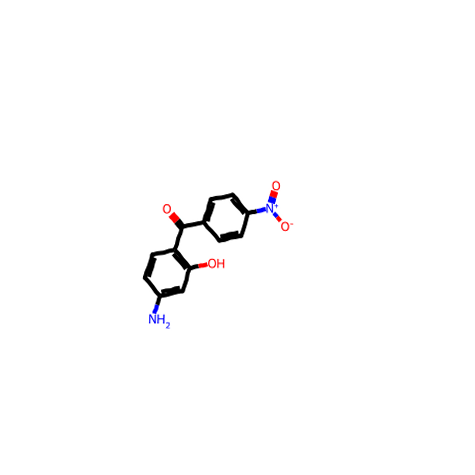 Nc1ccc(C(=O)c2ccc([N+](=O)[O-])cc2)c(O)c1